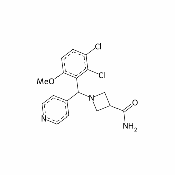 COc1ccc(Cl)c(Cl)c1C(c1ccncc1)N1CC(C(N)=O)C1